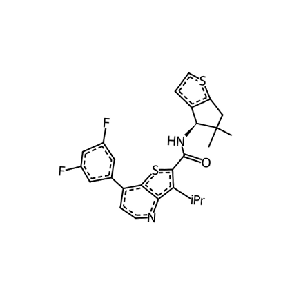 CC(C)c1c(C(=O)N[C@H]2c3ccsc3CC2(C)C)sc2c(-c3cc(F)cc(F)c3)ccnc12